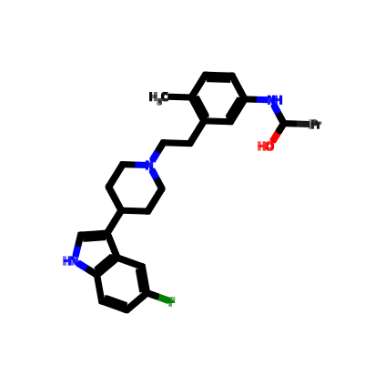 Cc1ccc(NC(O)C(C)C)cc1CCN1CCC(c2c[nH]c3ccc(F)cc23)CC1